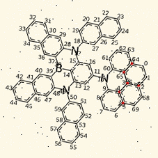 c1ccc(-c2ccccc2N(c2cc3c4c(c2)N(c2ccc5ccccc5c2)c2cc5ccccc5cc2B4c2cc4ccccc4cc2N3c2ccc3ccccc3c2)c2ccccc2-c2ccccc2)cc1